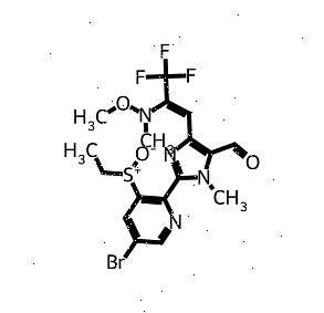 CC[S+]([O-])c1cc(Br)cnc1-c1nc(/C=C(\N(C)OC)C(F)(F)F)c(C=O)n1C